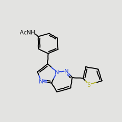 CC(=O)Nc1cccc(-c2cnc3ccc(-c4cccs4)nn23)c1